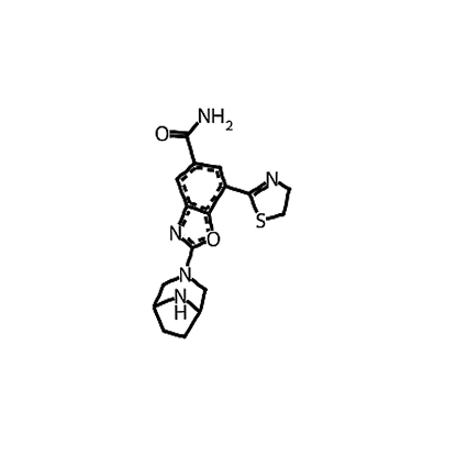 NC(=O)c1cc(C2=NCCS2)c2oc(N3CC4CCC(C3)N4)nc2c1